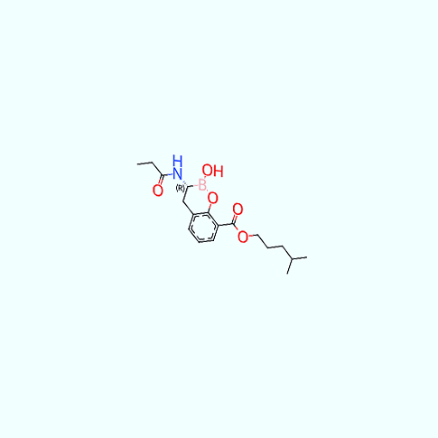 CCC(=O)N[C@H]1Cc2cccc(C(=O)OCCCC(C)C)c2OB1O